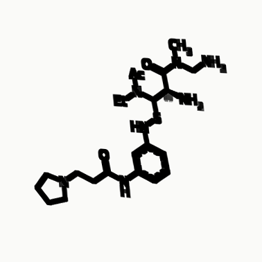 CCN(C(C)=O)C(SNc1cccc(NC(=O)CCN2CCCC2)c1)[C@H](N)C(=O)N(C)CN